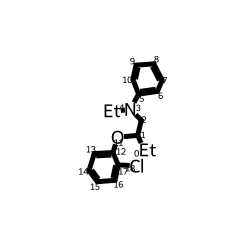 CCC(CN(CC)c1ccccc1)Oc1ccccc1Cl